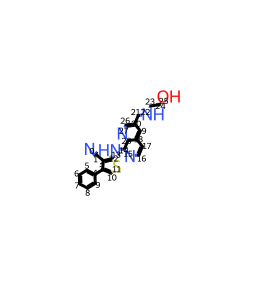 N#Cc1c(-c2ccccc2)csc1Nc1nccc2cc(CNCCO)cnc12